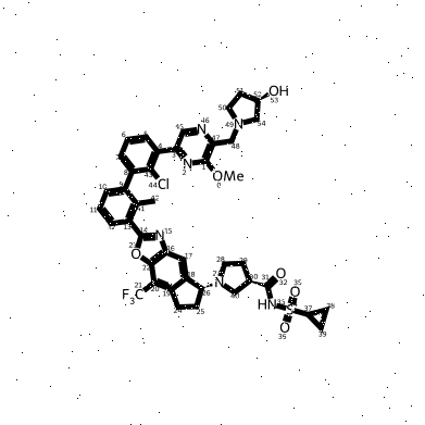 COc1nc(-c2cccc(-c3cccc(-c4nc5cc6c(c(C(F)(F)F)c5o4)CC[C@H]6N4CC[C@@H](C(=O)NS(=O)(=O)C5CC5)C4)c3C)c2Cl)cnc1CN1CC[C@@H](O)C1